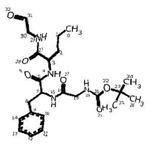 CCCC(NC(=O)C(Cc1ccccc1)NC(=O)CNC(=O)OC(C)(C)C)C(=O)NCC=O